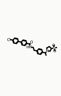 CC(c1ccc(CCNC(=O)c2ccc(-c3ccc(Cl)cc3)cc2)cc1)N1CCC(S(C)(=O)=O)C1